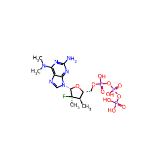 C[C@@H]1[C@@H](COP(=O)(O)OP(=O)(O)OP(=O)(O)O)O[C@@H](n2cnc3c(N(C)C)nc(N)nc32)[C@]1(C)F